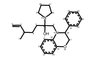 C=CC(C)CCC(O)(CN1c2ccccc2OCC1c1ccccc1)N1CCCC1